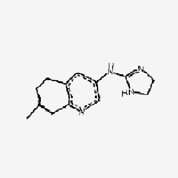 CC1CCc2cc(NC3=NCCN3)cnc2C1